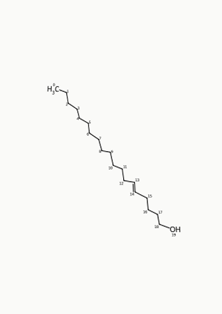 CCCCCCCCCCCCCC=CCCCCO